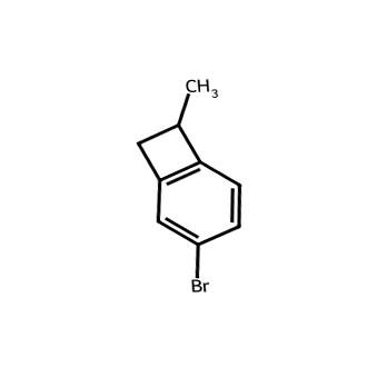 CC1Cc2cc(Br)ccc21